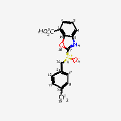 O=C(O)c1cccc2nc([S+]([O-])Cc3ccc(C(F)(F)F)cc3)oc12